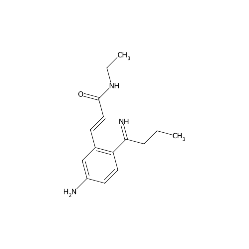 CCCC(=N)c1ccc(N)cc1C=CC(=O)NCC